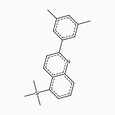 Cc1cc(C)cc(-c2ccc3c([Si](C)(C)C)cccc3n2)c1